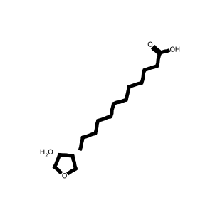 C1CCOC1.CCCCCCCCCCCC(=O)O.O